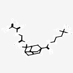 C=C(C)C(=O)OCC(=O)OC1(C(C)C)C2CC3CC1CC(C(=O)OCCCC(C)(F)F)(C3)C2